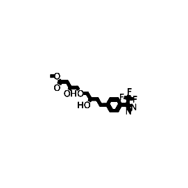 COC(=O)CC(O)COCC(O)CCc1ccc(C2(C(F)(F)F)N=N2)cc1